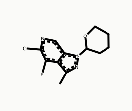 Cc1nn(C2CCCCO2)c2cnc(Cl)c(F)c12